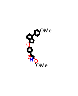 COCOc1cc(-c2ccc(OC3CCc4c(-c5ccc(OC)cc5)cccc43)cc2)on1